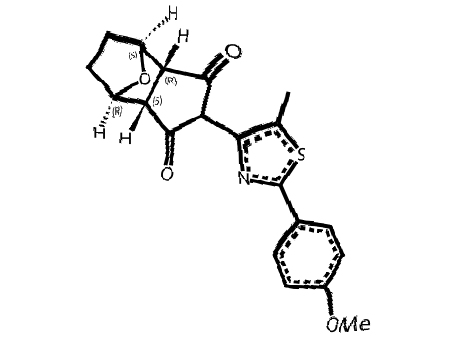 COc1ccc(-c2nc(C3C(=O)[C@@H]4[C@H](C3=O)[C@H]3CC[C@@H]4O3)c(C)s2)cc1